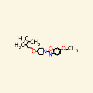 C=C(C)C(=C)CCOC1CCN(c2nc3ccc(OCC)cc3o2)CC1